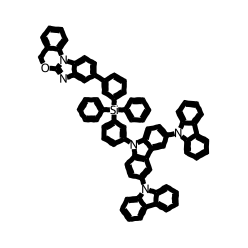 c1ccc([Si](c2ccccc2)(c2cccc(-c3ccc4c(c3)nc3n4-c4ccccc4CO3)c2)c2cccc(-n3c4ccc(-n5c6ccccc6c6ccccc65)cc4c4cc(-n5c6ccccc6c6ccccc65)ccc43)c2)cc1